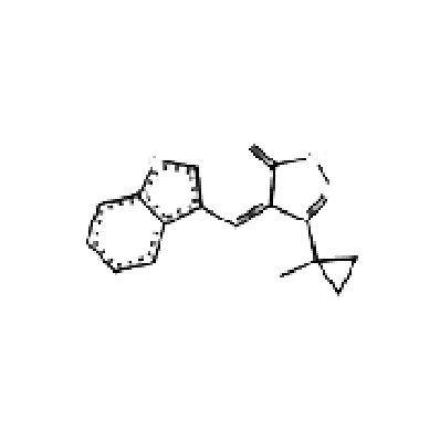 CC1(C2=NNC(=O)/C2=C\c2c[nH]c3ccccc23)CC1